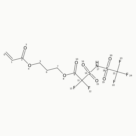 C=CC(=O)OCCCOC(=O)C(F)(F)S(=O)(=O)NS(=O)(=O)C(F)(F)F